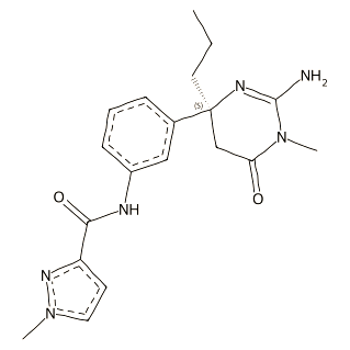 CCC[C@@]1(c2cccc(NC(=O)c3ccn(C)n3)c2)CC(=O)N(C)C(N)=N1